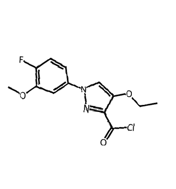 CCOc1cn(-c2ccc(F)c(OC)c2)nc1C(=O)Cl